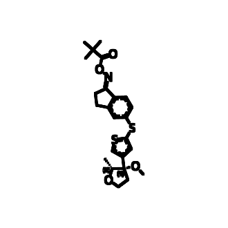 CO[C@]1(c2csc(Sc3ccc4c(c3)CCC4=NOC(=O)C(C)(C)C)c2)CCO[C@@H]1C